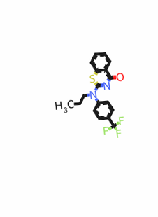 CCCN(c1ccc(C(F)(F)F)cc1)c1nc(=O)c2ccccc2s1